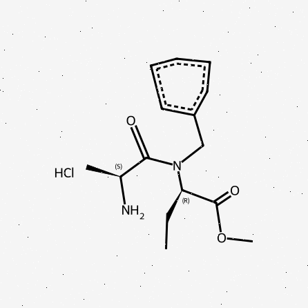 CC[C@H](C(=O)OC)N(Cc1ccccc1)C(=O)[C@H](C)N.Cl